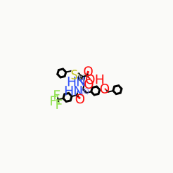 O=C(N[C@@H](CSCc1ccccc1)C(=O)O)/C(=C\c1ccc(OCc2ccccc2)cc1)NC(=O)c1ccc(C(F)(F)F)cc1